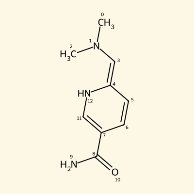 CN(C)/C=C1/C=CC(C(N)=O)=CN1